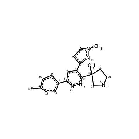 Cn1ccc(-c2cc(-c3ccc(F)cc3)nnc2C2(O)CCNC2)n1